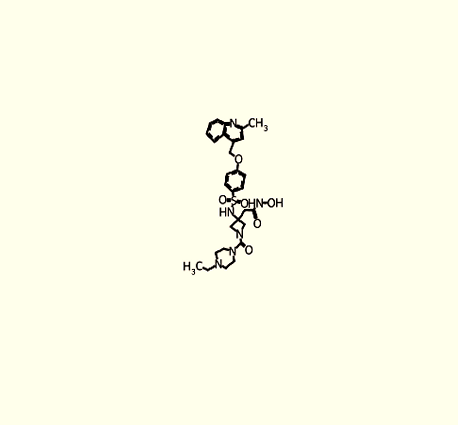 CCN1CCN(C(=O)N2CC(CC(=O)NO)(NS(=O)(=O)c3ccc(OCc4cc(C)nc5ccccc45)cc3)C2)CC1